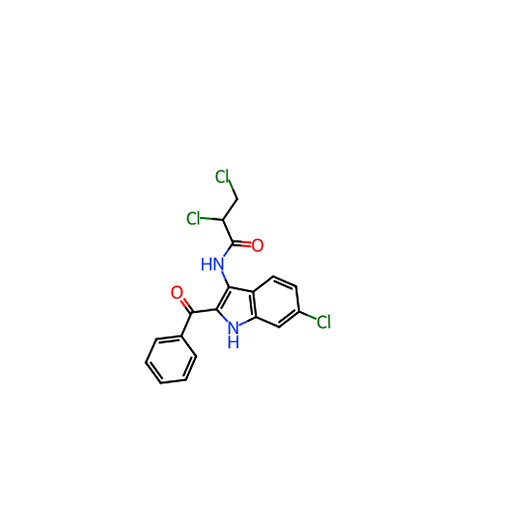 O=C(c1ccccc1)c1[nH]c2cc(Cl)ccc2c1NC(=O)C(Cl)CCl